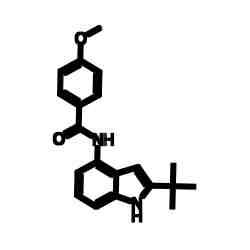 COc1ccc(C(=O)Nc2cccc3[nH]c(C(C)(C)C)cc23)cc1